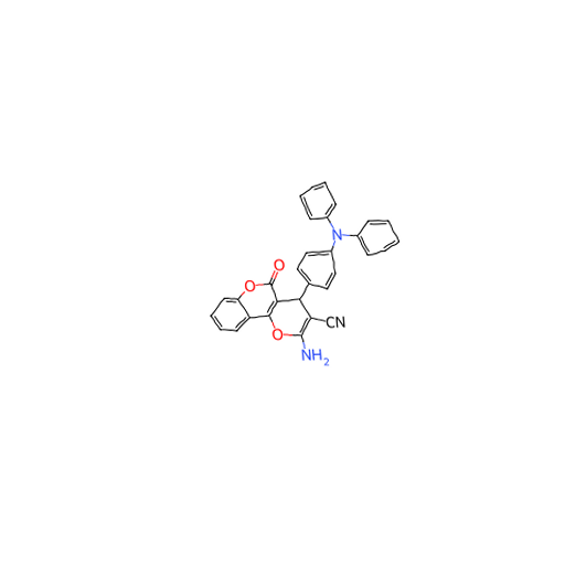 N#CC1=C(N)Oc2c(c(=O)oc3ccccc23)C1c1ccc(N(c2ccccc2)c2ccccc2)cc1